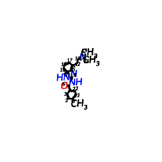 Cc1ccc(C(=O)Nc2nc3c(CCN(C)C)cccc3[nH]2)cc1